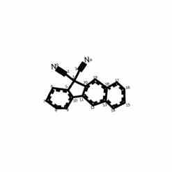 N#CC1(C#N)c2ccccc2-c2cc3ccccc3cc21